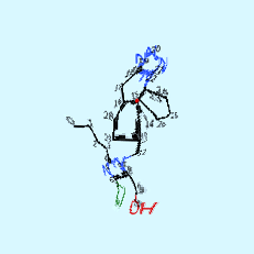 CCCCc1nc(Cl)c(CO)n1Cc1ccc(Cc2nnnn2C2CCCC2)cc1